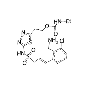 CCNC(=O)OCCc1nnc(NS(=O)(=O)CC=Cc2cccc(Cl)c2CN)s1